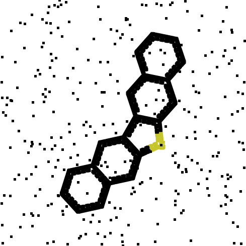 c1ccc2cc3c(cc2c1)sc1cc2ccccc2cc13